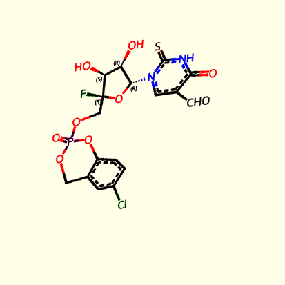 O=Cc1cn([C@@H]2O[C@](F)(COP3(=O)OCc4cc(Cl)ccc4O3)[C@@H](O)[C@H]2O)c(=S)[nH]c1=O